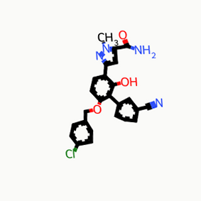 Cn1nc(-c2ccc(OCc3ccc(Cl)cc3)c(-c3cccc(C#N)c3)c2O)cc1C(N)=O